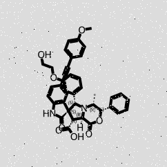 COc1ccc(C#Cc2ccc3c(c2)[C@]2(C(=O)N3)[C@H](c3cccc(OCCO)c3)N3[C@H](C)[C@H](c4ccccc4)OC(=O)[C@H]3[C@@H]2C(=O)O)cc1